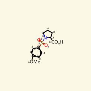 COc1ccc(S(=O)(=O)N2CCCC2C(=O)O)cc1